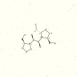 CC[C@@H]1CCCP1[C@@H](C)[C@H](C)P1[C@H](CC)CC[C@H]1CC